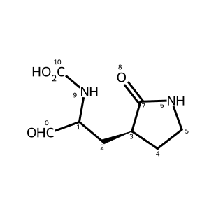 O=CC(C[C@@H]1CCNC1=O)NC(=O)O